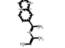 CC(=C/N)/N=C(\N)c1ccn2ccnc2c1